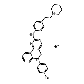 Brc1ccc([C@H]2Cc3cnc(Nc4ccc(CCN5CCCCC5)cc4)nc3-c3ccccc32)cc1.Cl